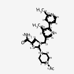 CC(=O)N1CCN(C2SC(C(N)=O)=CN2Cc2cnc(-c3ccnc(C)c3)c(C)c2)CC1